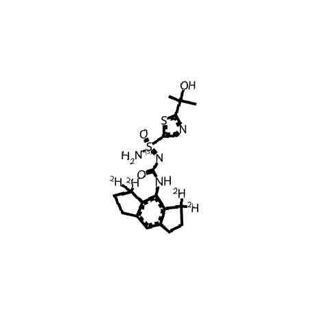 [2H]C1([2H])CCc2cc3c(c(NC(=O)N=[S@](N)(=O)c4cnc(C(C)(C)O)s4)c21)C([2H])([2H])CC3